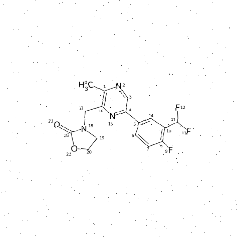 Cc1ncc(-c2ccc(F)c(C(F)F)c2)nc1CN1CCOC1=O